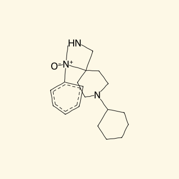 [O-][N+]1(c2ccccc2)CNCC12CCN(C1CCCCC1)CC2